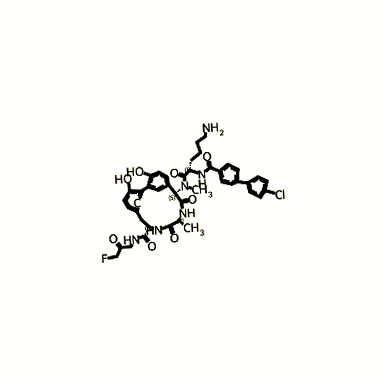 C[C@@H]1NC(=O)[C@@H](N(C)C(=O)[C@H](CCCCN)NC(=O)c2ccc(-c3ccc(Cl)cc3)cc2)c2ccc(O)c(c2)-c2cc(ccc2O)C[C@@H](C(=O)NCC(=O)CF)NC1=O